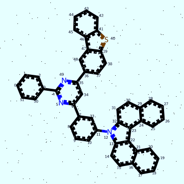 c1ccc(-c2nc(-c3cccc(-n4c5ccc6ccccc6c5c5c6ccccc6ccc54)c3)cc(-c3ccc4sc5ccccc5c4c3)n2)cc1